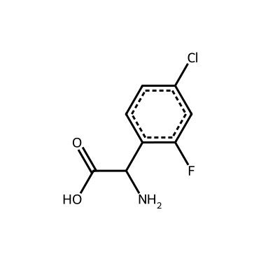 NC(C(=O)O)c1ccc(Cl)cc1F